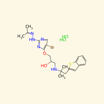 CC(C)=NNc1ncc(Br)c(OCC(O)CNC(C)(C)Cc2cc3ccccc3s2)n1.Cl.Cl